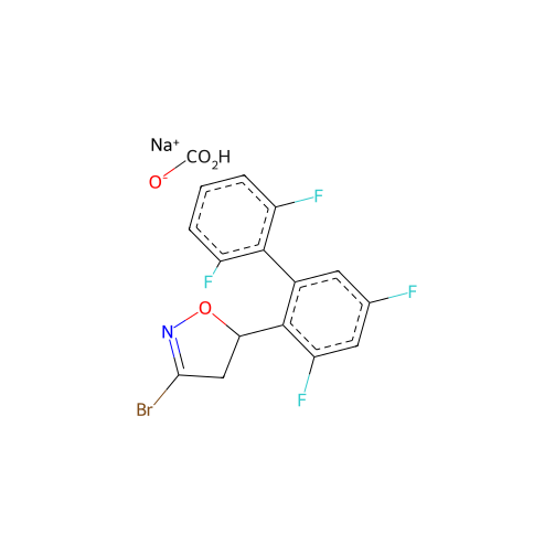 Fc1cc(F)c(C2CC(Br)=NO2)c(-c2c(F)cccc2F)c1.O=C([O-])O.[Na+]